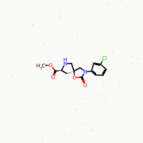 COC(=O)[C@@H]1C[C@]2(CN1)CN(c1cccc(Cl)c1)C(=O)O2